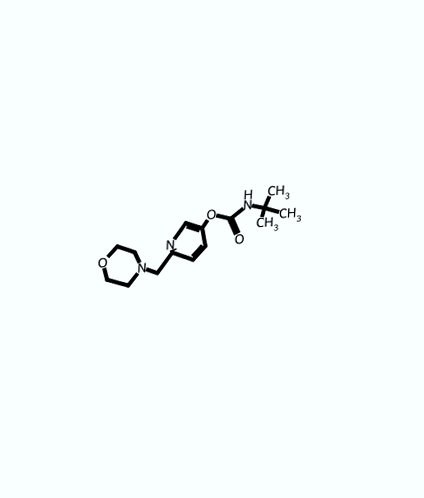 CC(C)(C)NC(=O)Oc1ccc(CN2CCOCC2)nc1